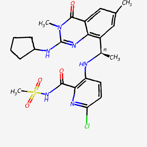 Cc1cc([C@@H](C)Nc2ccc(Cl)nc2C(=O)NS(C)(=O)=O)c2nc(NC3CCCC3)n(C)c(=O)c2c1